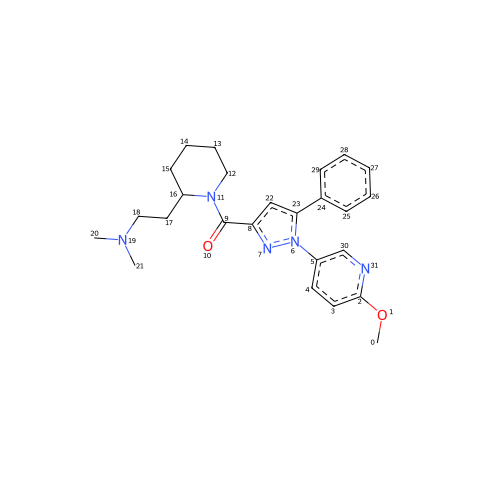 COc1ccc(-n2nc(C(=O)N3CCCCC3CCN(C)C)cc2-c2ccccc2)cn1